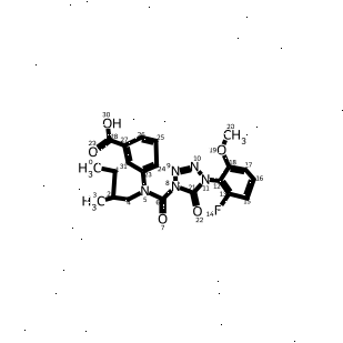 CCC(C)CN(C(=O)n1nnn(-c2c(F)cccc2OC)c1=O)c1cccc(C(=O)O)c1